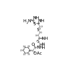 CC(=O)O[C@@H](C(=O)NC(=N)SC(=N)CCSCC(=N)SC(=N)N)c1ccccc1